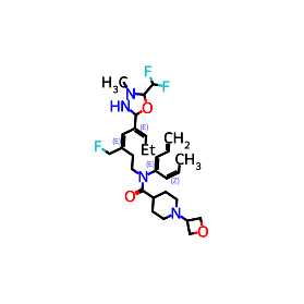 C=C/C=C(\C=C/C)N(CC/C(=C\C(=C/CC)C1NN(C)C(C(F)F)O1)CF)C(=O)C1CCN(C2COC2)CC1